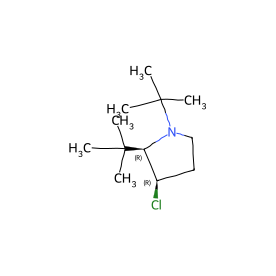 CC(C)(C)[C@@H]1[C@H](Cl)CCN1C(C)(C)C